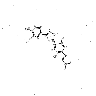 Cc1cc(N=CN(C)C)c(Cl)cc1C1CC(c2ccc(Cl)c(F)c2)=NO1